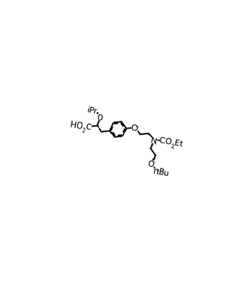 CCCCOCCN(CCOc1ccc(CC(OC(C)C)C(=O)O)cc1)C(=O)OCC